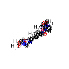 COC(=O)N[C@H](C(=O)N1CCC[C@H]1c1nc2cc(-c3ccc4c(c3)C(C)(C)c3cc(NC(=O)[C@@H]5C[C@@H]6CCCC[C@@H]6N5C(=O)[C@@H](NC(=O)OC)C(C)C)ccc3-4)ccc2[nH]1)C(C)C